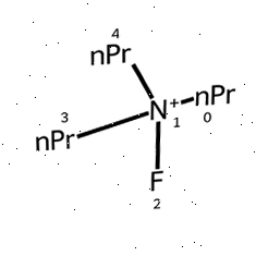 CCC[N+](F)(CCC)CCC